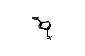 CNc1nc(C(=O)O)co1